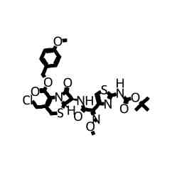 CO/N=C(\C(=O)N[C@@H]1C(=O)N2C(C(=O)OCc3ccc(OC)cc3)=C(CCl)CS[C@H]12)c1csc(NC(=O)OC(C)(C)C)n1